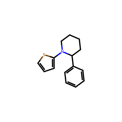 c1ccc(C2CCCCN2c2cccs2)cc1